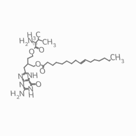 CCCCCCC=CCCCCCCCC(=O)OCC(CCOC(=O)[C@@H](N)C(C)C)Cc1nc2nc(N)[nH]c(=O)c2[nH]1